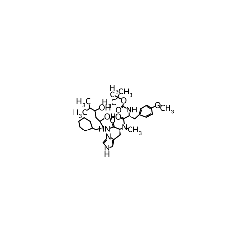 COc1ccc(C[C@H](NC(=O)OC(C)(C)C)C(=O)N(C)[C@@H](Cc2c[nH]cn2)C(=O)N[C@@H](CC2CCCCC2)C(O)CC(O)C(C)C)cc1